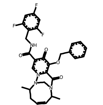 CC1C=CCC(C)N2CN1C(=O)c1c(OCc3ccccc3)c(=O)c(C(=O)NCc3c(F)cc(F)cc3F)cn12